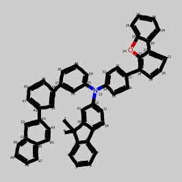 CC1(C)c2ccccc2-c2ccc(N(c3ccc(-c4cccc5c4oc4ccccc45)cc3)c3cccc(-c4cccc(-c5ccc6ccccc6c5)c4)c3)cc21